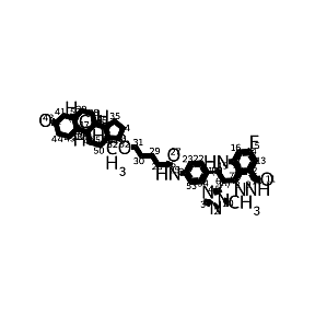 Cn1ncnc1[C@H]1c2n[nH]c(=O)c3cc(F)cc(c23)N[C@@H]1c1ccc(NC(=O)CCCCO[C@H]2CC[C@H]3[C@@H]4CC[C@H]5CC(=O)CC[C@]5(C)[C@H]4CC[C@]23C)cc1